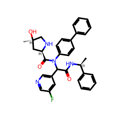 C[C@H](NC(=O)C(c1cncc(F)c1)N(C(=O)[C@H]1C[C@@](C)(O)CN1)c1ccc(-c2ccccc2)cc1)c1ccccc1